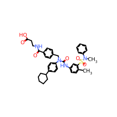 Cc1ccc(NC(=O)N(Cc2ccc(C(=O)NCCC(=O)O)cc2)c2ccc(C3CCCCC3)cc2)cc1S(=O)(=O)N(C)c1ccccc1